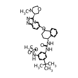 CN1CCOC[C@H]1c1nnc2ccc(O[C@@H]3CC[C@H](NC(=O)Nc4cc(NS(C)(=O)=O)cc(C(C)(C)C)c4)c4ccccc43)cn12